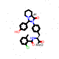 COC(=O)[C@H](Cc1ccc(N2C(=O)[C@@H]3CCCCN3C2c2ccc(O)cc2)cc1)NC(=O)c1c(C)cccc1Cl